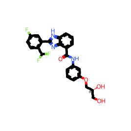 O=C(Nc1cccc(OC[C@H](O)CO)c1)c1cccc2[nH]c(-c3cc(F)ccc3C(F)F)nc12